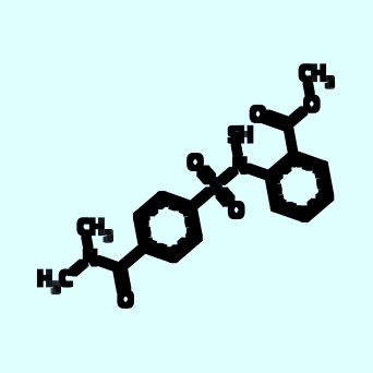 COC(=O)c1ccccc1N(S)S(=O)(=O)c1ccc(C(=O)N(C)C)cc1